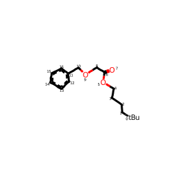 CC(C)(C)CCCCOC(=O)COCc1ccccc1